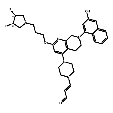 O=CC=CN1CCN(c2nc(OCCCN3C[C@@H](F)[C@@H](F)C3)nc3c2CCN(c2cc(O)cc4ccccc24)C3)CC1